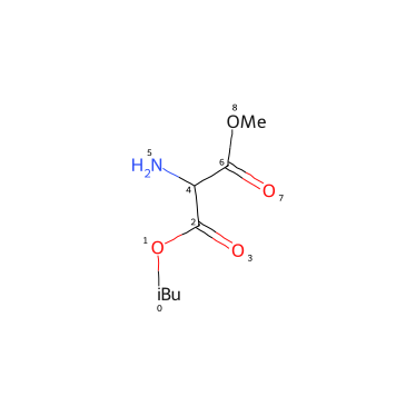 CCC(C)OC(=O)C(N)C(=O)OC